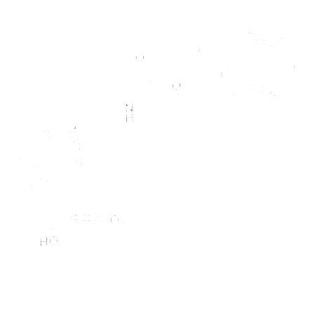 O=C(NCc1cccc(C(=O)O)c1)OCc1ccccc1